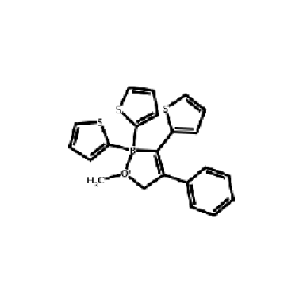 C[O+]1CC(c2ccccc2)=C(c2cccs2)[B-]1(c1cccs1)c1cccs1